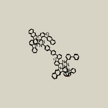 c1ccc(-c2cccc(-c3nc(-c4c(-n5c6cc7ccccc7cc6c6c7ccccc7ccc65)ccc5oc6c(-c7ccc(-c8ccc(-c9nc(-c%10c(-n%11c%12ccccc%12c%12cc%13ccccc%13cc%12%11)ccc%11oc%12cc%13ccccc%13cc%12c%10%11)nc(-n%10c%11ccccc%11c%11ccccc%11%10)n9)cc8)cc7)cccc6c45)nc(-n4c5ccccc5c5ccccc54)n3)c2)cc1